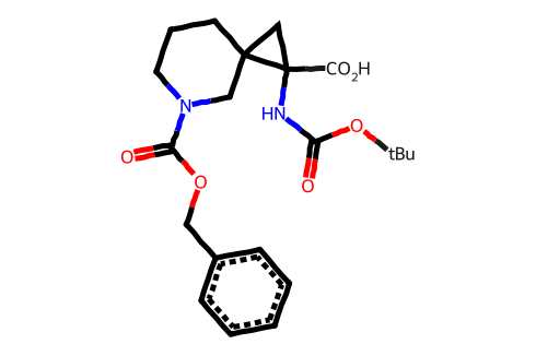 CC(C)(C)OC(=O)NC1(C(=O)O)CC12CCCN(C(=O)OCc1ccccc1)C2